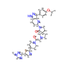 CC(C)Oc1ccc(-c2n[nH]c3ccc(N4CC[C@]5(CCN(CC(=O)N6CC=C(c7ncc(-c8ncn(C)n8)s7)CC6)C5)C4=O)nc23)cc1